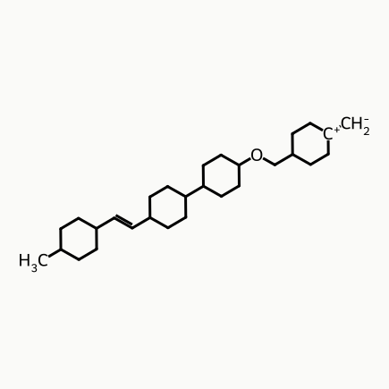 [CH2-][C+]1CCC(COC2CCC(C3CCC(C=CC4CCC(C)CC4)CC3)CC2)CC1